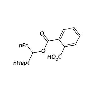 CCCCCCCC(CCC)OC(=O)c1ccccc1C(=O)O